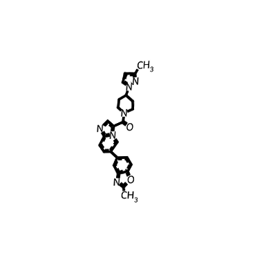 Cc1ccn(C2CCN(C(=O)c3cnc4ccc(-c5ccc6oc(C)nc6c5)cn34)CC2)n1